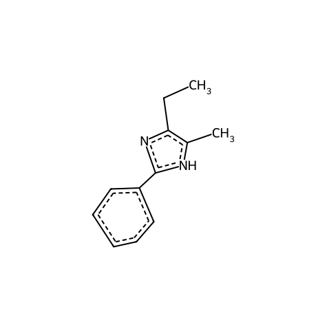 CCc1nc(-c2ccccc2)[nH]c1C